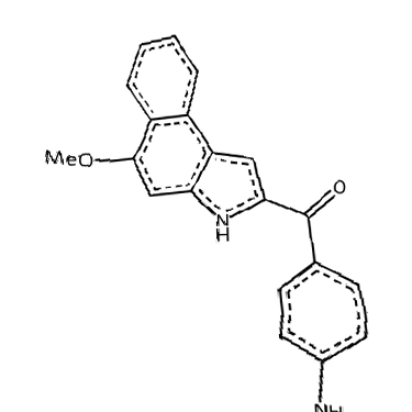 COc1cc2[nH]c(C(=O)c3ccc(N)cc3)cc2c2ccccc12